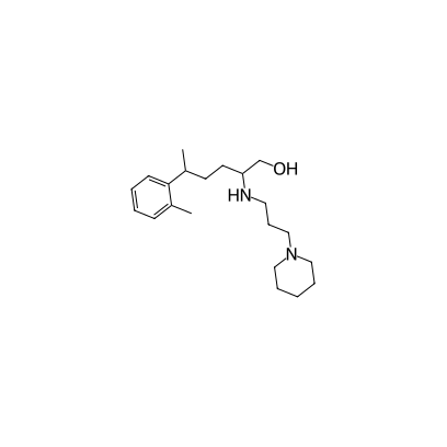 Cc1ccccc1C(C)CCC(CO)NCCCN1CCCCC1